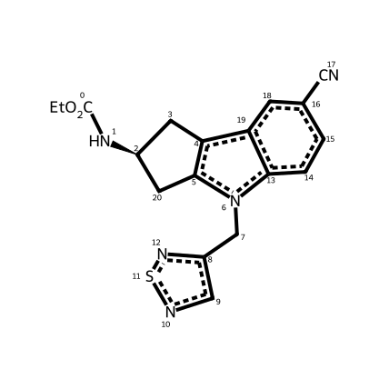 CCOC(=O)N[C@H]1Cc2c(n(Cc3cnsn3)c3ccc(C#N)cc23)C1